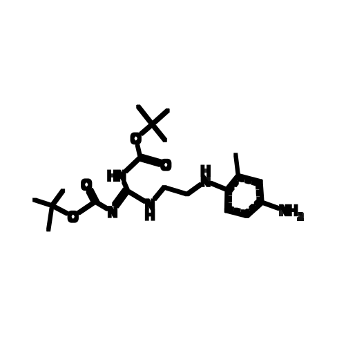 Cc1cc(N)ccc1NCCN/C(=N/C(=O)OC(C)(C)C)NC(=O)OC(C)(C)C